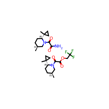 C[C@H]1CC[C@H](C2(C)CC2)N(C(=O)C(=O)OCC(F)(F)F)C1.C[C@H]1CC[C@H](C2(C)CC2)N(C(=O)C(N)=O)C1